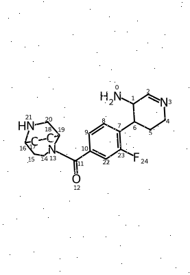 NC1C=NCCC1c1ccc(C(=O)N2CCC3CCC2CN3)cc1F